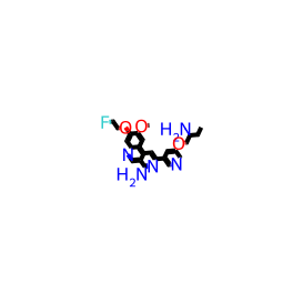 CC[C@@H](N)COc1cncc(-c2cc3c(cnc4cc(OCCF)c(OC)cc43)c(N)n2)c1